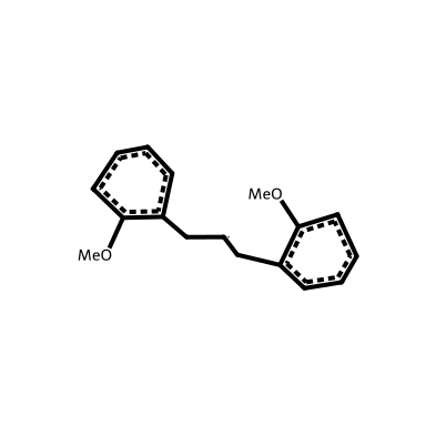 COc1ccccc1C[CH]Cc1ccccc1OC